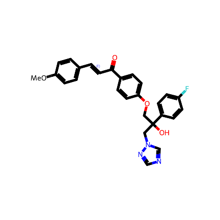 COc1ccc(/C=C/C(=O)c2ccc(OCC(O)(Cn3cncn3)c3ccc(F)cc3)cc2)cc1